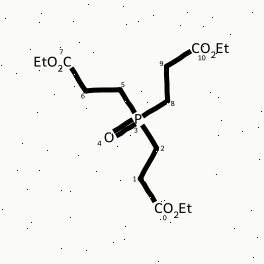 CCOC(=O)CCP(=O)(CCC(=O)OCC)CCC(=O)OCC